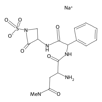 CNC(=O)CC(N)C(=O)NC(C(=O)NC1CN(S(=O)(=O)[O-])C1=O)c1ccccc1.[Na+]